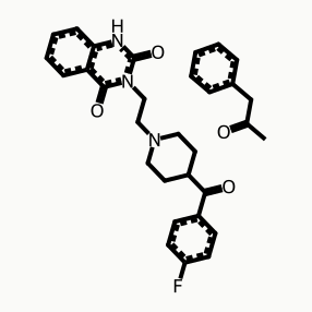 CC(=O)Cc1ccccc1.O=C(c1ccc(F)cc1)C1CCN(CCn2c(=O)[nH]c3ccccc3c2=O)CC1